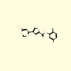 Cc1ccc(Cl)cc1NC(=O)c1cc(-c2cc(N)ncn2)c[nH]1